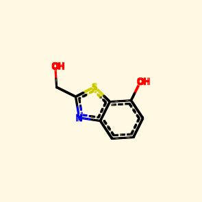 OCc1nc2cccc(O)c2s1